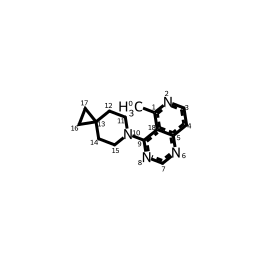 Cc1nccc2ncnc(N3CCC4(CC3)CC4)c12